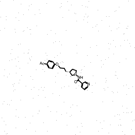 CC(=O)c1ccc(OCCC[C@@H]2CCN(NC(=O)c3cccnc3)C2)cc1